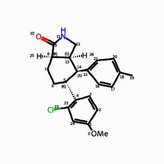 COc1ccc([C@@H]2CC[C@H]3C(=O)NC[C@H]3[C@H]2c2ccc(C)cc2)c(Cl)c1